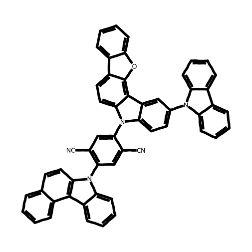 N#Cc1cc(-n2c3ccc(-n4c5ccccc5c5ccccc54)cc3c3c4oc5ccccc5c4ccc32)c(C#N)cc1-n1c2ccccc2c2c3ccccc3ccc21